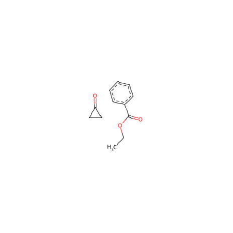 CCOC(=O)c1ccccc1.O=C1CC1